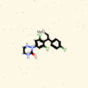 COCC(c1ccc(Cl)cc1)c1c(Cl)cc(N2N=CCNC2=O)cc1Cl